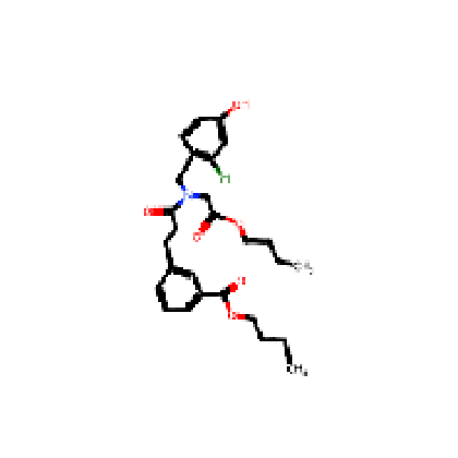 CCCCOC(=O)CN(Cc1ccc(O)cc1Cl)C(=O)CCc1cccc(C(=O)OCCCC)c1